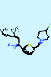 C/C=C\C(=C/C(=N)c1ccc(CN2CCC(F)CC2)s1)C(F)(F)F